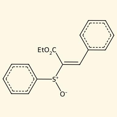 CCOC(=O)/C(=C\c1ccccc1)[S+]([O-])c1ccccc1